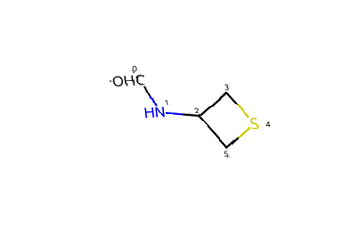 O=[C]NC1CSC1